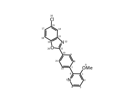 COc1cccnc1-c1ccc(-c2nc3cc(Cl)ccc3o2)cc1